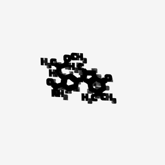 COCC(C)Nc1cc(-n2c(C)cc3c2CC(C)(C)CC3=O)ccc1C(N)=O